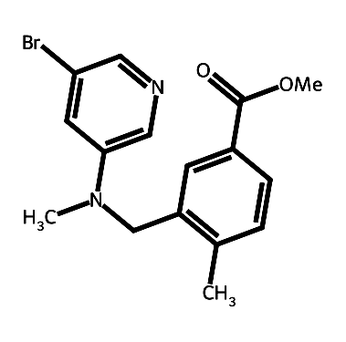 COC(=O)c1ccc(C)c(CN(C)c2cncc(Br)c2)c1